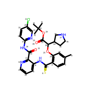 Cc1ccc(C(=S)Nc2cccnc2C(=O)Nc2ccc(Cl)cn2)c(OC(C(=O)OC(C)(C)C)C2CCNC2)c1